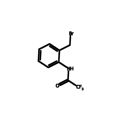 O=C(Nc1ccccc1CBr)C(F)(F)F